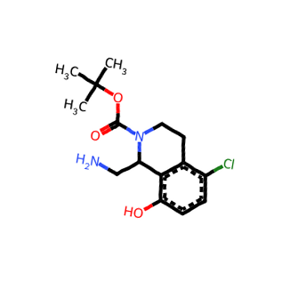 CC(C)(C)OC(=O)N1CCc2c(Cl)ccc(O)c2C1CN